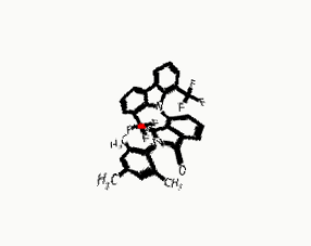 Cc1cc(C)c(N2C(=O)c3cccc(-n4c5c(C(F)(F)F)cccc5c5cccc(C(F)(F)F)c54)c3C2=O)c(C)c1